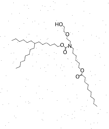 CCCCCCCCCC(=O)OCCCCCCN(CCOCCO)C(=O)OCCCCCCC(CCCCCC)CCCCCCCC